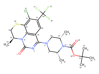 C[C@@H]1CN(c2nc(=O)n3c4c(c(Cl)c(C(F)(F)F)cc24)SC[C@@H]3C)C[C@H](C)N1C(=O)OC(C)(C)C